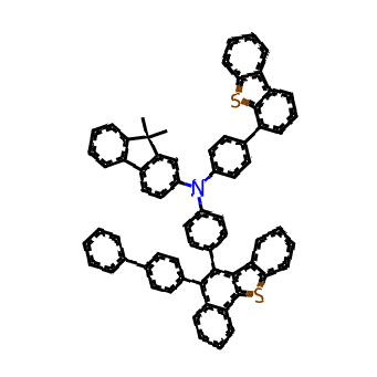 CC1(C)c2ccccc2-c2ccc(N(c3ccc(-c4cccc5c4sc4ccccc45)cc3)c3ccc(-c4c(-c5ccc(-c6ccccc6)cc5)c5ccccc5c5sc6ccccc6c45)cc3)cc21